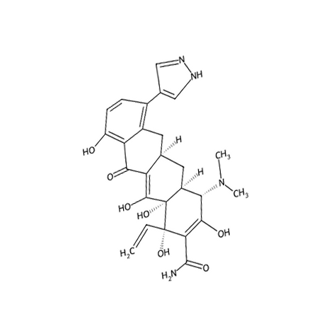 C=C[C@]1(O)C(C(N)=O)=C(O)[C@@H](N(C)C)[C@@H]2C[C@@H]3Cc4c(-c5cn[nH]c5)ccc(O)c4C(=O)C3=C(O)[C@@]21O